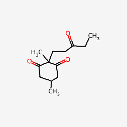 CCC(=O)CCC1(C)C(=O)CC(C)CC1=O